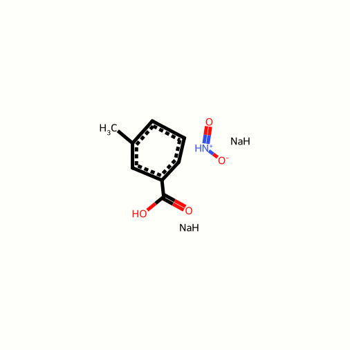 Cc1cccc(C(=O)O)c1.O=[NH+][O-].[NaH].[NaH]